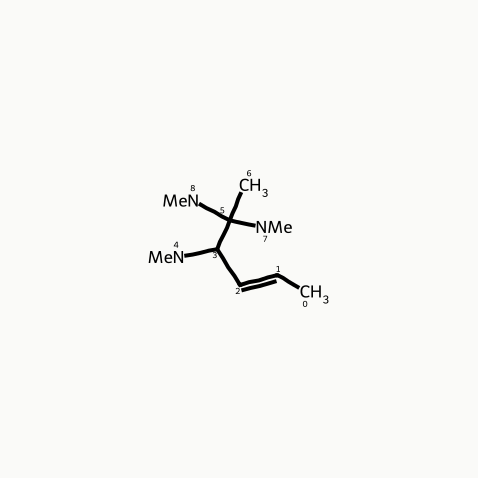 CC=CC(NC)C(C)(NC)NC